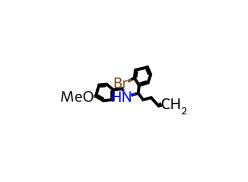 C=CCCC(NCc1ccc(OC)cc1)c1ccccc1Br